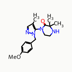 COc1ccc(Cn2ncc(C)c2N2CCNC(C)(C)C2=O)cc1